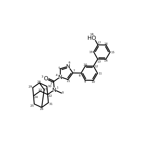 CN(C(=O)n1cnc(-c2cccc(-c3cccc(O)c3)c2)c1)C12CC3CC(CC(C3)C1)C2